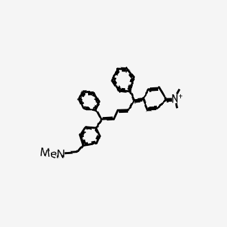 CNCc1ccc(C(=CC=CC(=C2C=CC(=[N+](C)C)C=C2)c2ccccc2)c2ccccc2)cc1